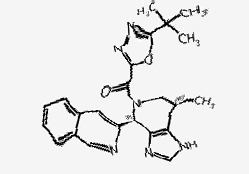 C[C@@H]1CN(C(=O)c2nnc(C(C)(C)C)o2)[C@H](c2cc3ccccc3cn2)c2nc[nH]c21